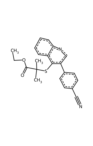 CCOC(=O)C(C)(C)Sc1c(-c2ccc(C#N)cc2)cnc2ccccc12